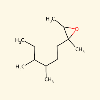 CCC(C)C(C)CCC1(C)OC1C